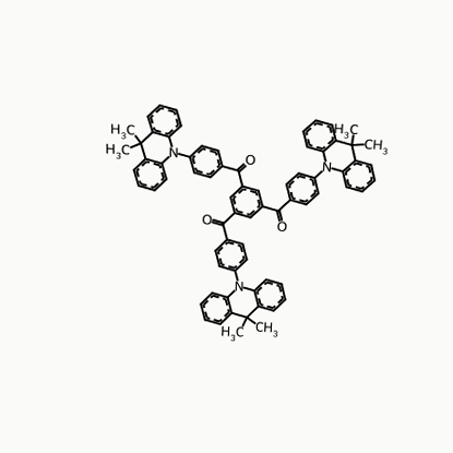 CC1(C)c2ccccc2N(c2ccc(C(=O)c3cc(C(=O)c4ccc(N5c6ccccc6C(C)(C)c6ccccc65)cc4)cc(C(=O)c4ccc(N5c6ccccc6C(C)(C)c6ccccc65)cc4)c3)cc2)c2ccccc21